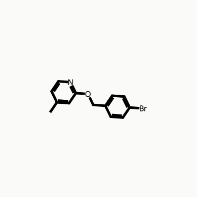 Cc1ccnc(OCc2ccc(Br)cc2)c1